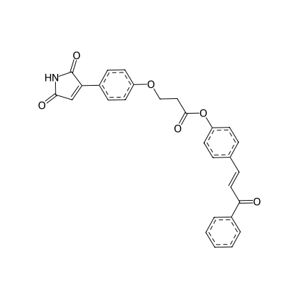 O=C1C=C(c2ccc(OCCC(=O)Oc3ccc(C=CC(=O)c4ccccc4)cc3)cc2)C(=O)N1